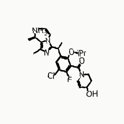 C=C(N)c1c(C)nc(C(C)c2cc(Cl)c(F)c(C(=O)N3C=CC(O)CC3)c2OC(C)C)n1/C=C\C